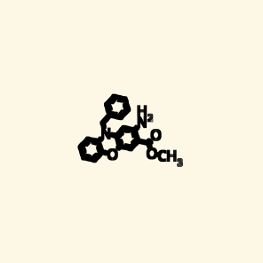 COC(=O)c1cc2c(cc1N)N(Cc1ccccc1)c1ccccc1O2